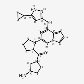 N[C@@H]1CCN(C(=O)C2CCCN2c2nc(Nc3cc(C4CC4)[nH]n3)c3cccn3n2)C1